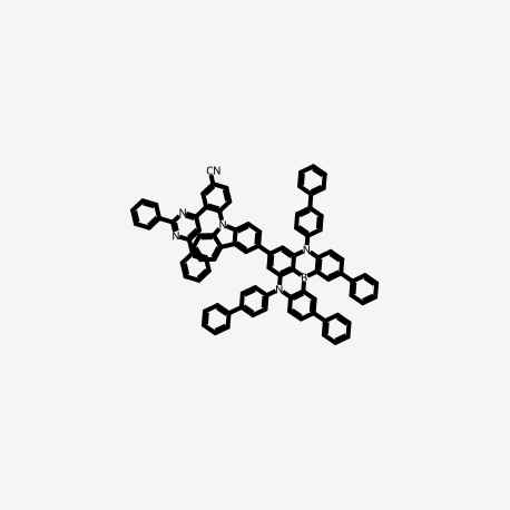 N#Cc1ccc(-n2c3ccccc3c3cc(-c4cc5c6c(c4)N(c4ccc(-c7ccccc7)cc4)c4ccc(-c7ccccc7)cc4B6c4cc(-c6ccccc6)ccc4N5c4ccc(-c5ccccc5)cc4)ccc32)c(-c2cc(-c3ccccc3)nc(-c3ccccc3)n2)c1